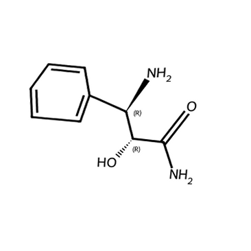 NC(=O)[C@H](O)[C@H](N)c1ccccc1